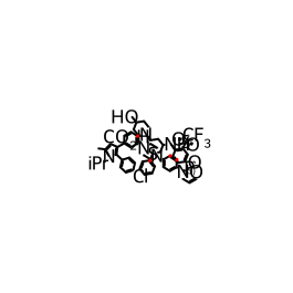 Cc1c(C(=O)O)c(-c2cccc(N3CCN(c4ccc(N5CC=CO[P@@]5(=O)c5ccc(NC(CCN6CCC(O)CC6)CSc6ccccc6)c(S(=O)(=O)C(F)(F)F)c5)cc4)CC3)c2)c(-c2ccc(Cl)cc2)n1C(C)C